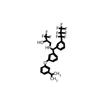 CC(C)c1cccc(Oc2cccc(C(NCC(O)C(F)(F)F)c3cccc(C(F)(F)C(F)(F)C(F)(F)F)c3)c2)c1